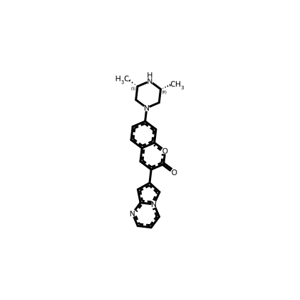 C[C@@H]1CN(c2ccc3cc(-c4cc5ncccn5c4)c(=O)oc3c2)C[C@H](C)N1